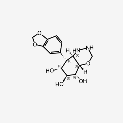 O[C@@H]1[C@@H](O)[C@H]2OCNN[C@@H]2[C@@H](c2ccc3c(c2)OCO3)[C@H]1O